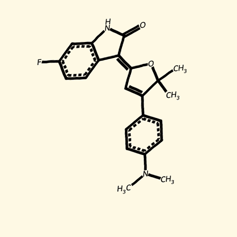 CN(C)c1ccc(C2=CC(=C3C(=O)Nc4cc(F)ccc43)OC2(C)C)cc1